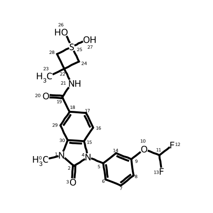 Cn1c(=O)n(-c2cccc(OC(F)F)c2)c2ccc(C(=O)NC3(C)CS(O)(O)C3)cc21